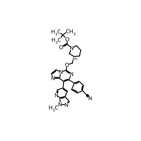 Cn1ncc2cc(-c3c(-c4ccc(C#N)cc4)nc(OC[C@@H]4CCCN(C(=O)OC(C)(C)C)C4)n4ccnc34)cnc21